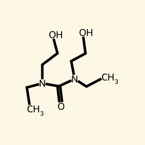 CCN(CCO)C(=O)N(CC)CCO